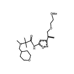 C=C(COCCOC)c1cc(NC(=O)C(C)(C)N(C)CC2CCOCC2)on1